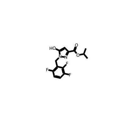 CC(C)OC(=O)c1cc(O)n(Cc2c(F)ccc(F)c2F)n1